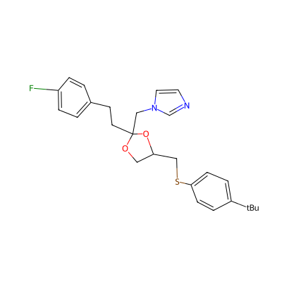 CC(C)(C)c1ccc(SCC2COC(CCc3ccc(F)cc3)(Cn3ccnc3)O2)cc1